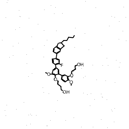 CCCCCC1Cc2ccc(-c3ccc(-c4cc(OC)c(OCCCCO)c(-c5ccc(OC)c(OCCCO)c5)c4)c(F)c3)cc2C1